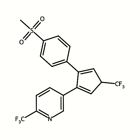 CS(=O)(=O)c1ccc(C2=CC(C(F)(F)F)C=C2c2ccc(C(F)(F)F)nc2)cc1